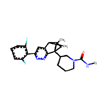 CCNC(=O)N1CCCC(C23CCC(c4cc(-c5c(F)cccc5F)nnc42)C3(C)C)C1